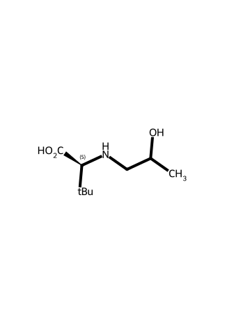 CC(O)CN[C@H](C(=O)O)C(C)(C)C